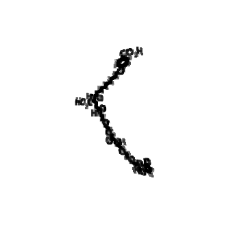 O=C(CCC(NC(=O)CCCCCCCCCOc1ccc(C(=O)O)cc1)C(=O)O)NCCOCCOCC(=O)NCCOCCOCC(=O)ON1C(=O)CCC1O